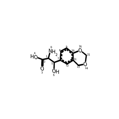 NC(C(=O)O)C(O)c1ccc2c(c1)COCO2